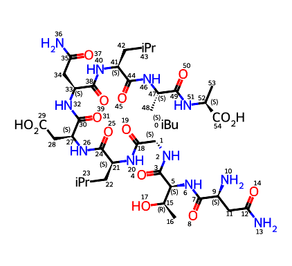 CC[C@H](C)[C@H](NC(=O)[C@@H](NC(=O)[C@@H](N)CC(N)=O)[C@@H](C)O)C(=O)N[C@@H](CC(C)C)C(=O)N[C@@H](CC(=O)O)C(=O)N[C@@H](CC(N)=O)C(=O)N[C@@H](CC(C)C)C(=O)N[C@@H](C)C(=O)N[C@@H](C)C(=O)O